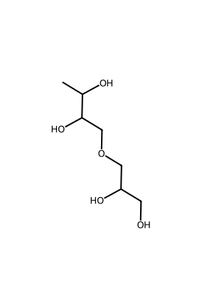 CC(O)C(O)COCC(O)CO